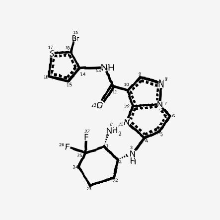 N[C@@H]1[C@H](Nc2ccn3ncc(C(=O)Nc4ccsc4Br)c3n2)CCCC1(F)F